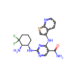 NC(=O)c1cnc(N[C@@H]2CCCC(F)(F)[C@@H]2N)nc1Nc1csc2ncccc12